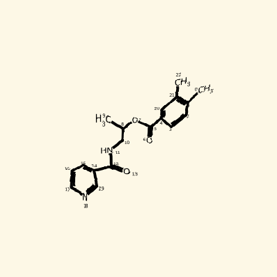 Cc1ccc(C(=O)OC(C)CNC(=O)c2cccnc2)cc1C